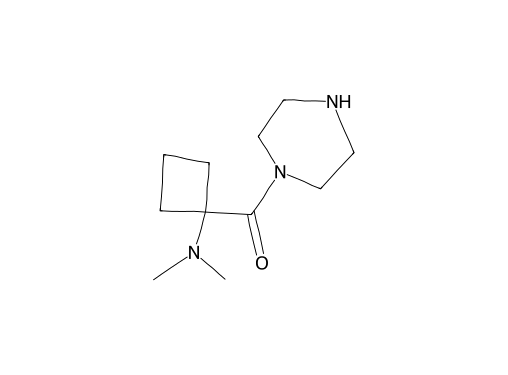 CN(C)C1(C(=O)N2CCNCC2)CCC1